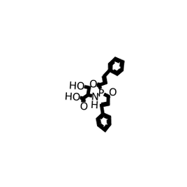 O=C(O)C(CO)NP(C(=O)C=Cc1ccccc1)C(=O)C=Cc1ccccc1